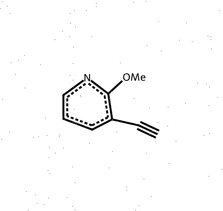 C#Cc1cccnc1OC